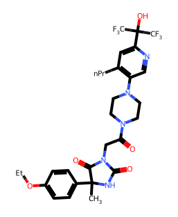 CCCc1cc(C(O)(C(F)(F)F)C(F)(F)F)ncc1N1CCN(C(=O)CN2C(=O)NC(C)(c3ccc(OCC)cc3)C2=O)CC1